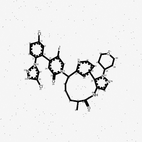 CC1CCCC(n2cc(F)c(-c3cc(Cl)ccc3-n3cc(Cl)nn3)cc2=O)c2cc(ccn2)-c2c(cnn2C2CCOCC2)NC1=O